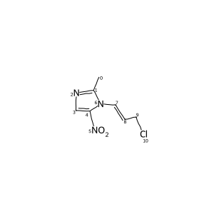 Cc1ncc([N+](=O)[O-])n1C=CCCl